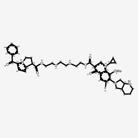 COc1c(N2CC3CCCNC3C2)c(F)cc2c(=O)c(C(=O)OCCOCCOCCOC(=O)C3CCn4c(C(=O)c5ccccc5)ccc43)cn(C3CC3)c12